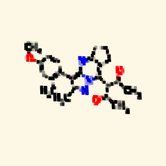 COc1ccc(-c2c(C)nn3c(C(C(C)=O)C(C)=O)c4c(nc23)CCC4)c(C)c1